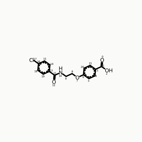 O=C(O)c1ccc(OCCNC(=O)c2ccc(Cl)cc2)cc1